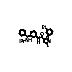 CCc1cccc(-n2nc(C)cc2C(=O)Nc2cccc(C(NC(C)C)c3ccccc3)c2)c1